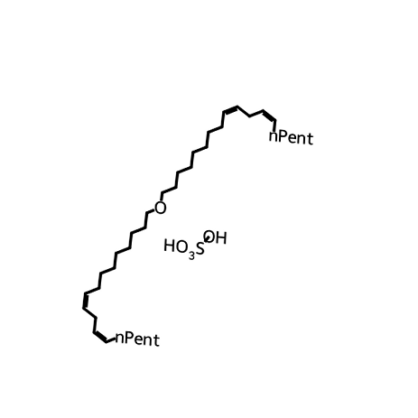 CCCCC/C=C\C/C=C\CCCCCCCCOCCCCCCCC/C=C\C/C=C\CCCCC.O=S(=O)(O)O